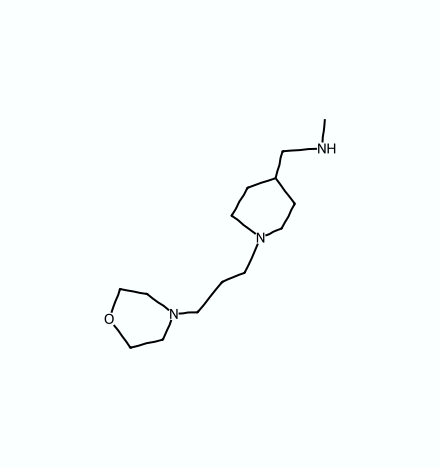 CNCC1CCN(CCCN2CCOCC2)CC1